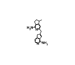 CC1CCc2c1cc(CC1=Cc3c(ccnc3N)C1)nc2N